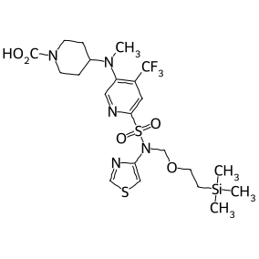 CN(c1cnc(S(=O)(=O)N(COCC[Si](C)(C)C)c2cscn2)cc1C(F)(F)F)C1CCN(C(=O)O)CC1